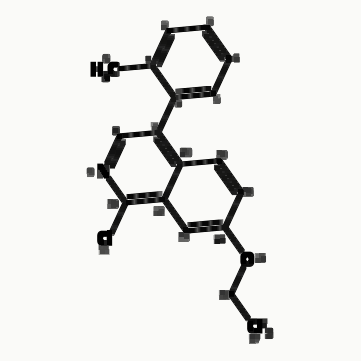 Cc1ccccc1-c1cnc(Cl)c2cc(OCC(F)(F)F)ccc12